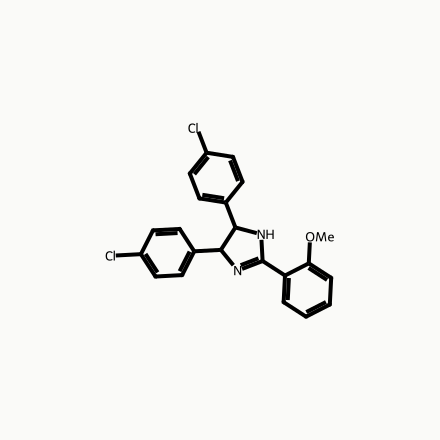 COc1ccccc1C1=NC(c2ccc(Cl)cc2)C(c2ccc(Cl)cc2)N1